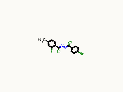 Cc1ccc(/C(Cl)=N/N=C(\Cl)c2ccc(Br)cc2)c(F)c1